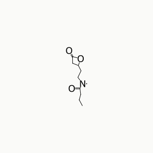 CCCC(=O)[N]CCC1CC(=O)O1